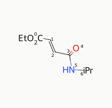 CCOC(=O)/C=C/C(=O)NC(C)C